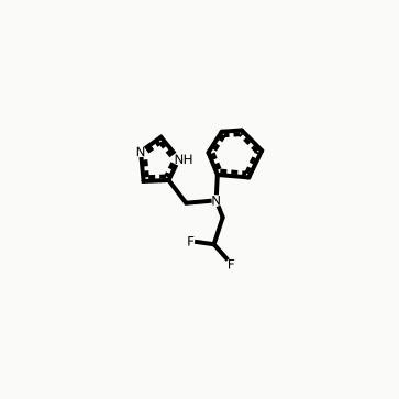 FC(F)CN(Cc1cnc[nH]1)c1ccccc1